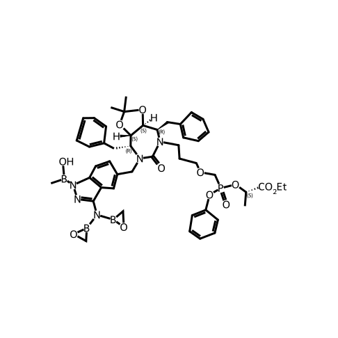 CCOC(=O)[C@H](C)OP(=O)(COCCCN1C(=O)N(Cc2ccc3c(c2)c(N(B2CO2)B2CO2)nn3B(C)O)[C@H](Cc2ccccc2)[C@@H]2OC(C)(C)O[C@H]2[C@H]1Cc1ccccc1)Oc1ccccc1